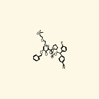 C[Si](C)(C)CCOCn1cc(OCc2ccccc2)c(=O)c(C(=O)N2CCC[C@@H]2C(OS(C)(=O)=O)C(c2ccc(C#N)cc2)c2cccc(F)c2)n1